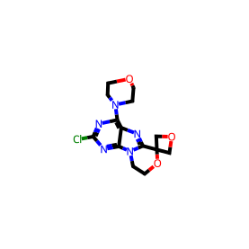 Clc1nc(N2CCOCC2)c2nc3n(c2n1)CCOC31COC1